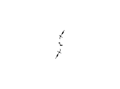 CC#CC(C)(C)COC(=O)C(=O)OCC(C)(C)C#CC